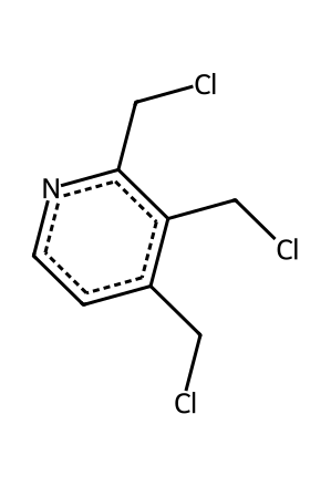 ClCc1ccnc(CCl)c1CCl